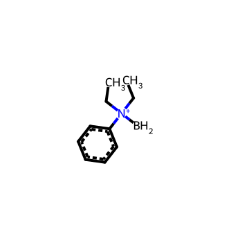 B[N+](CC)(CC)c1ccccc1